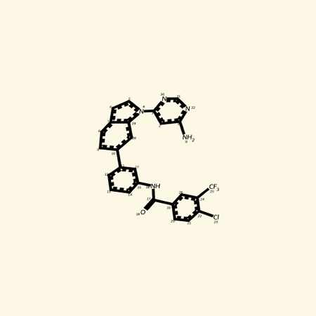 Nc1cc(-n2ccc3ccc(-c4cccc(NC(=O)c5ccc(Cl)c(C(F)(F)F)c5)c4)cc32)ncn1